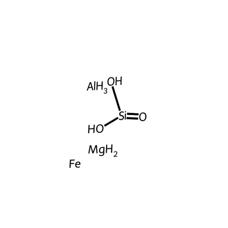 O=[Si](O)O.[AlH3].[Fe].[MgH2]